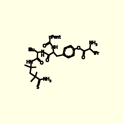 CCCCCC(=O)NC(Cc1ccc(OC(=O)C(N)C(C)C)cc1)C(=O)NC(C(=O)NC(C)(C)CC(C)(C)C(N)=S)C(C)CC